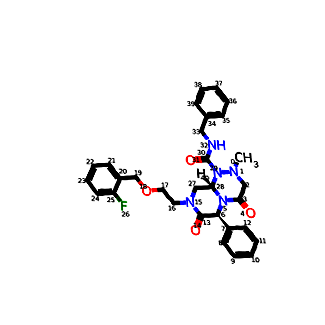 CN1CC(=O)N2[C@@H](c3ccccc3)C(=O)N(CCOCc3ccccc3F)C[C@@H]2N1C(=O)NCc1ccccc1